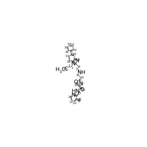 CCCCn1c(CCNCCc2nc(C(=O)NCc3ncccc3F)co2)nc2cc(-c3ccccc3)ccc21